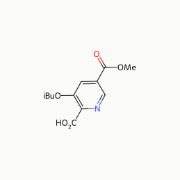 COC(=O)c1cnc(C(=O)O)c(OCC(C)C)c1